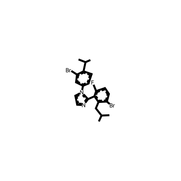 CC(C)Cc1c(Br)ccc(F)c1-c1nccn1-c1ccc(C(C)C)c(Br)c1